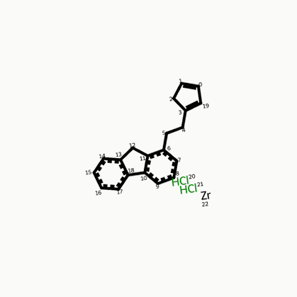 C1=CCC(CCc2cccc3c2Cc2ccccc2-3)=C1.Cl.Cl.[Zr]